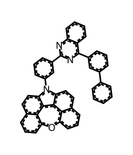 c1ccc(-c2cccc(-c3nc(-c4cccc(-n5c6ccc7cccc8oc9cccc%10ccc5c(c%109)c6c78)c4)nc4ccccc34)c2)cc1